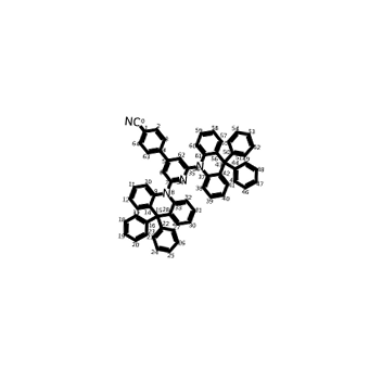 N#Cc1ccc(-c2cc(N3c4ccccc4C(c4ccccc4)(c4ccccc4)c4ccccc43)nc(N3c4ccccc4C(c4ccccc4)(c4ccccc4)c4ccccc43)c2)cc1